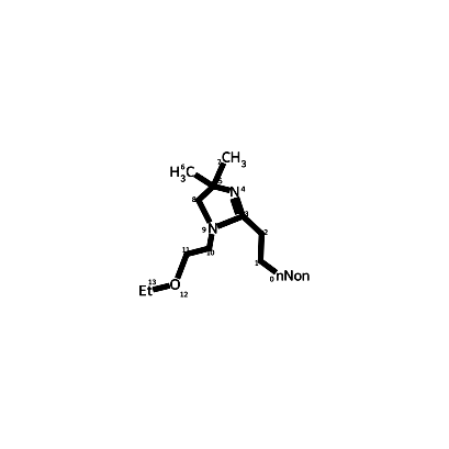 CCCCCCCCCCCC1=NC(C)(C)CN1CCOCC